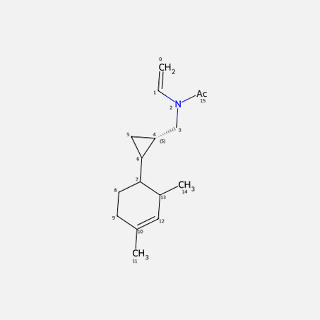 C=CN(C[C@H]1CC1C1CCC(C)=CC1C)C(C)=O